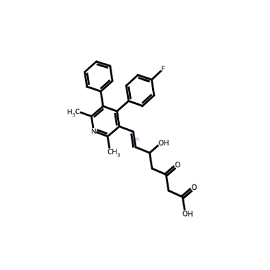 Cc1nc(C)c(-c2ccccc2)c(-c2ccc(F)cc2)c1/C=C/C(O)CC(=O)CC(=O)O